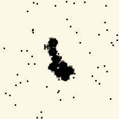 c1ccc(Nc2ccc(-c3ccc4c(c3)c3ccccc3n4-c3ccc4c(c3)C(c3ccccc3)(c3ccccc3)c3ccccc3-4)cc2)cc1